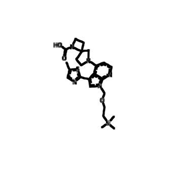 Cc1cnc(-c2cn(COCC[Si](C)(C)C)c3nccc(N4CCC5(CCN5C(=O)O)C4)c23)s1